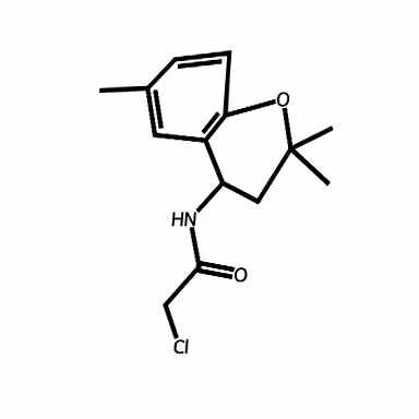 Cc1ccc2c(c1)C(NC(=O)CCl)CC(C)(C)O2